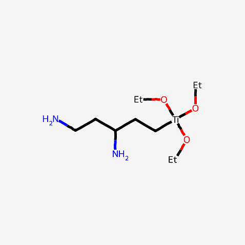 CC[O][Ti]([CH2]CC(N)CCN)([O]CC)[O]CC